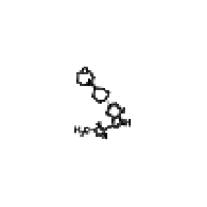 Cc1cnc(-c2c[nH]c3ncc([C@H]4CC[C@H](N5CCCOCC5)CC4)cc23)s1